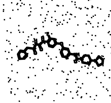 O=C(Cc1ccccc1)NC(=O)Nc1ccc(Oc2ccnc(NC(=O)N3CCC(N4CCCC4)CC3)c2)cc1F